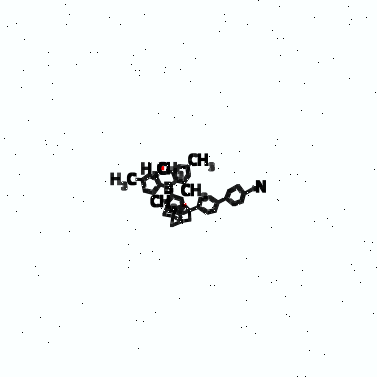 Cc1cc(C)c(B(c2ccc(C34CC5(c6ccc(-c7ccc(C#N)cc7)cc6)CC6CC3(C4)C6C5)cc2)c2c(C)cc(C)cc2C)c(C)c1